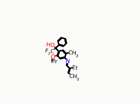 C/C=C(/C=N/c1cc(OC(C)C)c(C(O)(c2ccccc2)C(F)(F)F)cc1C)CC